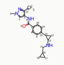 Cn1cc(NC(=O)c2ccc(C3CC3NCC3CC3)cc2)c(C(F)(F)F)n1